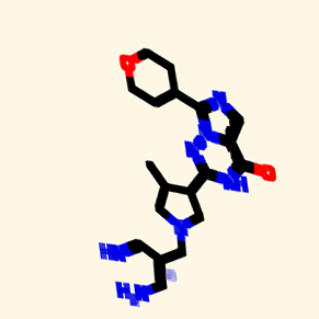 CC1CN(C/C(C=N)=C/N)CC1c1nn2c(C3CCOCC3)ncc2c(=O)[nH]1